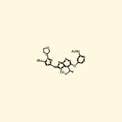 CC(=O)Nc1cc(Oc2cnc3nc(Nc4cc(C(C)(C)C)n([C@H]5CCOC5)n4)n(C)c3c2C(F)F)ccn1